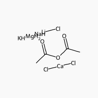 CC(=O)OC(C)=O.[Cl][Ca][Cl].[KH].[Li][Cl].[MgH2].[NaH]